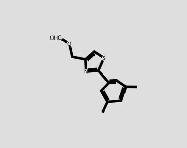 Cc1cc(C)cc(-c2nc(CO[C]=O)cs2)c1